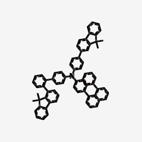 CC1(C)c2ccccc2-c2ccc(-c3ccc(N(c4ccc(-c5ccccc5-c5cccc6c5C(C)(C)c5ccccc5-6)cc4)c4ccc(-c5cccc6cccc(-c7ccccc7)c56)cc4)cc3)cc21